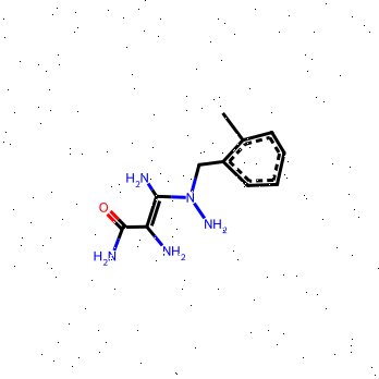 Cc1ccccc1CN(N)/C(N)=C(\N)C(N)=O